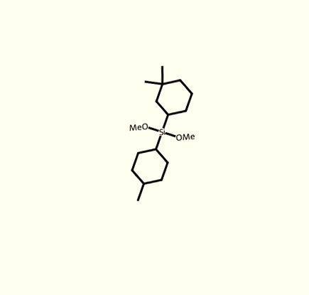 CO[Si](OC)(C1CCC(C)CC1)C1CCCC(C)(C)C1